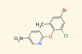 Cc1cc(Br)cc(Cl)c1Oc1ccc([N+](=O)[O-])cn1